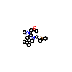 c1ccc(-n2c3ccc(N(c4cccc(-c5cccc6c5sc5ccccc56)c4)c4cccc5c4-c4ccccc4C54c5ccccc5-c5ccccc54)cc3c3c4c(ccc32)oc2ccccc24)cc1